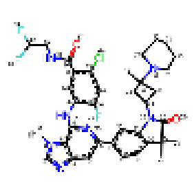 CC(C)n1cnc2cc(-c3ccc4c(c3)N(C3CC(C)(N5CCCCC5)C3)C(=O)C4(C)C)nc(Nc3cc(C(=O)NCC(F)F)c(Cl)cc3F)c21